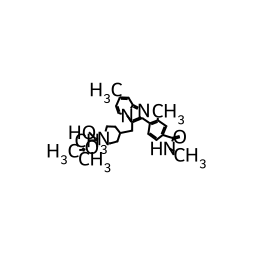 CNC(=O)c1ccc(-c2nc3cc(C)ccn3c2CC2CCN(C(O)OC(C)(C)C)CC2)c(C)c1